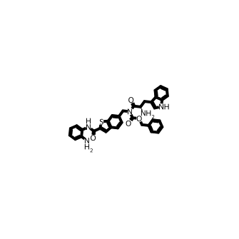 Nc1ccccc1NC(=O)c1cc2ccc(CN(C(=O)OCc3ccccc3)C(=O)[C@@H](N)Cc3c[nH]c4ccccc34)cc2s1